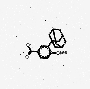 COc1ccc(C([O])=O)cc1C12CC3CC(CC(C3)C1)C2